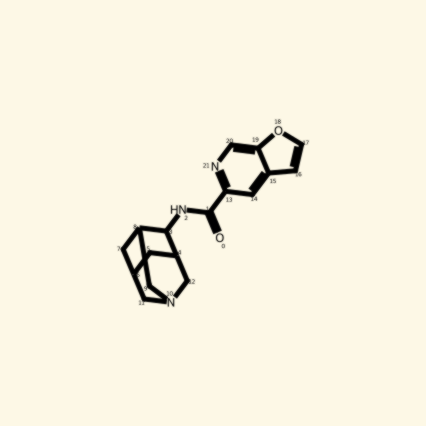 O=C(NC1C2CC3CC1CN(C3)C2)c1cc2ccoc2cn1